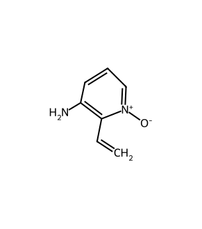 C=Cc1c(N)ccc[n+]1[O-]